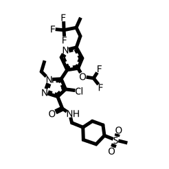 CCn1nc(C(=O)NCC2CCC(S(C)(=O)=O)CC2)c(Cl)c1-c1cnc(CC(C)C(F)(F)F)cc1OC(F)F